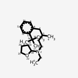 CCN(CCC(C)Cc1ccccc1C(C)(C)C)C1CCCO1